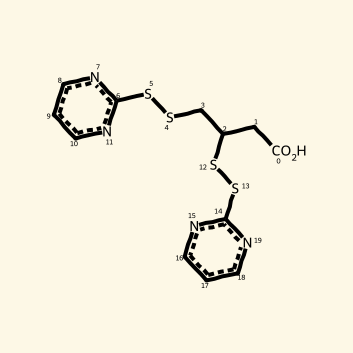 O=C(O)CC(CSSc1ncccn1)SSc1ncccn1